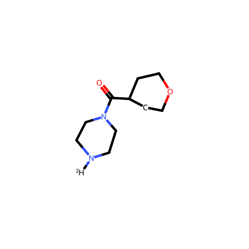 [2H]N1CCN(C(=O)C2CCOCC2)CC1